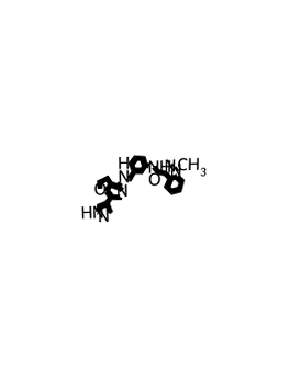 Cn1nc(C(=O)Nc2cccc(CNc3ncc(-c4cn[nH]c4)c4c3CCO4)c2)c2ccccc21